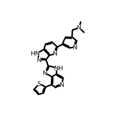 CN(C)Cc1cncc(-c2ccc3[nH]nc(-c4nc5c(-c6cccs6)cncc5[nH]4)c3n2)c1